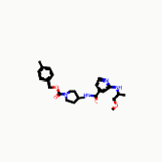 COCC(C)Nc1cc(C(=O)NCC2CCN(C(=O)OCc3ccc(C)cc3)CC2)ccn1